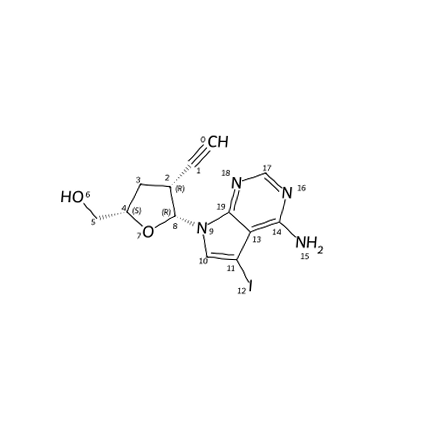 C#C[C@H]1C[C@@H](CO)O[C@H]1n1cc(I)c2c(N)ncnc21